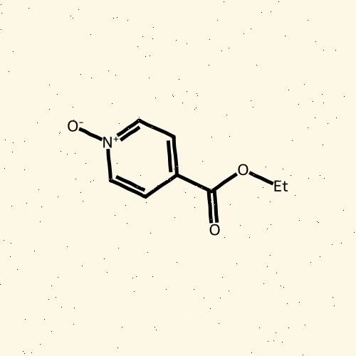 CCOC(=O)c1cc[n+]([O-])cc1